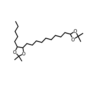 CCCCCC1OC(C)(C)OC1CCCCCCCCC[C]1OC(C)(C)O1